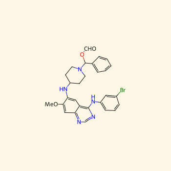 COc1cc2ncnc(Nc3cccc(Br)c3)c2cc1NC1CCN(C(OC=O)c2ccccc2)CC1